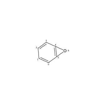 [c]1cccc2c1O2